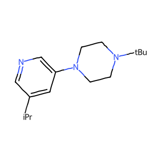 CC(C)c1cncc(N2CCN(C(C)(C)C)CC2)c1